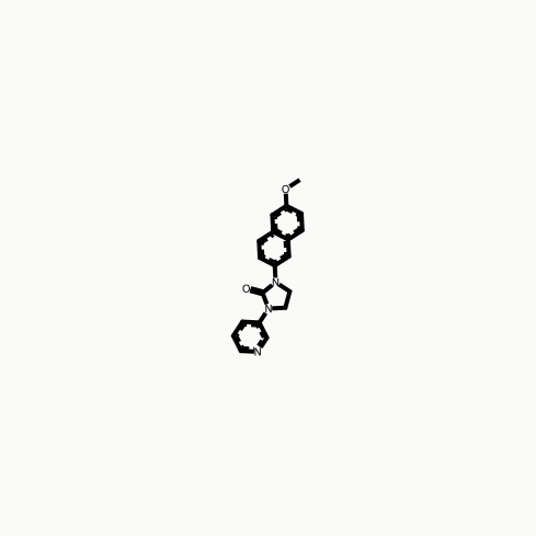 COc1ccc2cc(N3CCN(c4cccnc4)C3=O)ccc2c1